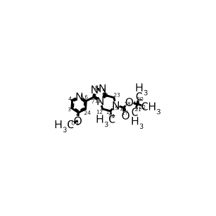 COc1ccnc(-c2nnc3n2C[C@H](C)N(C(=O)OC(C)(C)C)C3)c1